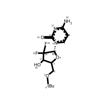 CC(C)(C)OCC1O[C@@H](n2ccc(N)nc2=O)C(F)(F)C1O